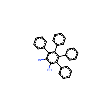 [NH]c1c([NH])c(-c2ccccc2)c(-c2ccccc2)c(-c2ccccc2)c1-c1ccccc1